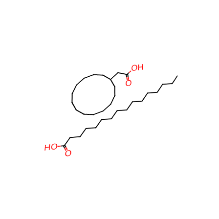 CCCCCCCCCCCCCCCC(=O)O.O=C(O)CC1CCCCCCCCCCCCC1